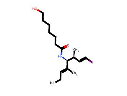 CC/C=C(\C)[C@@H](NC(=O)CCCCCCO)[C@@H](C)/C=C/I